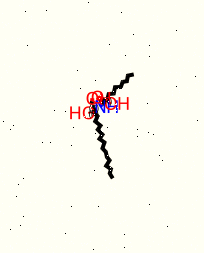 CCCCCCCCCCCCCCC[C@@H](O)[C@H](CO)NC(=O)[C@H](O)CCCCCCCC